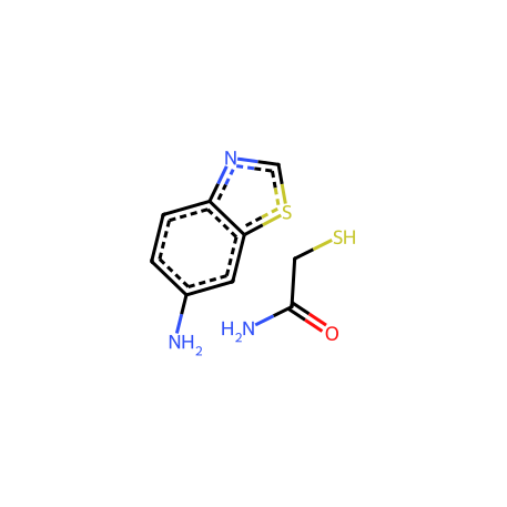 NC(=O)CS.Nc1ccc2ncsc2c1